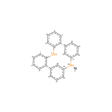 [Ni].c1ccc(Pc2ccccc2)cc1.c1ccc(Pc2ccccc2)cc1